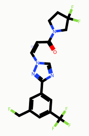 O=C(/C=C\n1cnc(-c2cc(CF)cc(C(F)(F)F)c2)n1)N1CCC(F)(F)C1